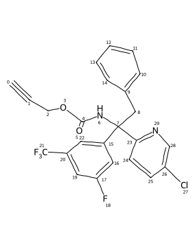 C#CCOC(=O)NC(Cc1ccccc1)(c1cc(F)cc(C(F)(F)F)c1)c1ccc(Cl)cn1